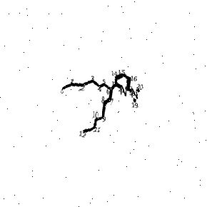 CCCCCCC(CCCCCC)c1cccc(N(C)C)n1